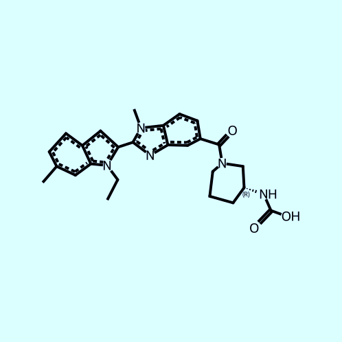 CCn1c(-c2nc3cc(C(=O)N4CCC[C@@H](NC(=O)O)C4)ccc3n2C)cc2ccc(C)cc21